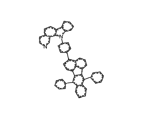 c1ccc(-c2c3c(c(-c4ccccc4)c4ccccc24)-c2ccc(-c4ccc(-n5c6ccccc6c6ccc7ccncc7c65)cc4)c4cccc-3c24)cc1